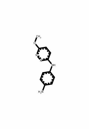 COc1ccc(Nc2ccc(N)cc2)nn1